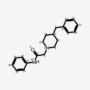 O=C(CN1CCC(Cc2ccccc2)CC1)Nc1ccccc1